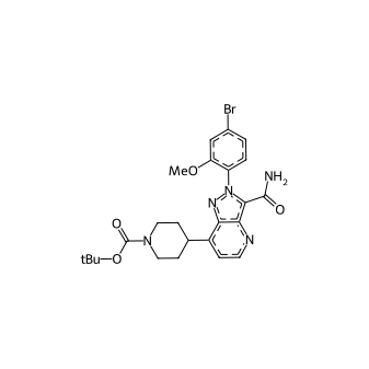 COc1cc(Br)ccc1-n1nc2c(C3CCN(C(=O)OC(C)(C)C)CC3)ccnc2c1C(N)=O